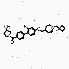 CC1CCN(C(=O)c2ccc(-c3ccc(OCC4CCN(CC5(C(F)(F)F)CCC5)CC4)cc3F)cc2)C1